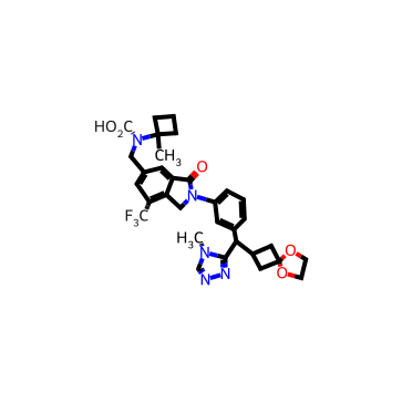 Cn1cnnc1C(c1cccc(N2Cc3c(cc(CN(C(=O)O)C4(C)CCC4)cc3C(F)(F)F)C2=O)c1)C1CC2(C1)OCCO2